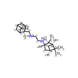 C[C@@H]1[C@@H](NCCNC[C@@H]2CCC3CC2C3(C)C)C[C@H]2C[C@@H]1C2(C)C